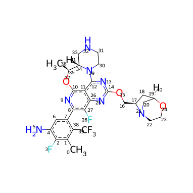 Cc1c(F)c(N)cc(-c2nc3c4c(nc(OC[C@H]5C[C@@H]6C[N@@]5CCO6)nc4c2F)N2CCNC[C@H]2[C@H](C)O3)c1C(F)(F)F